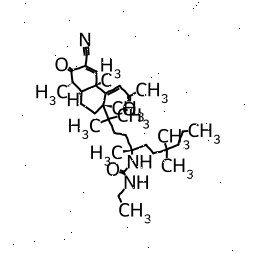 CCCC(C)(C)CC[C@@](C)(CCC(C)(C)[C@]1(C)CC[C@H]2[C@H](C)C(=O)C(C#N)=C[C@]2(C)/C1=C/C(C)=O)NC(=O)NCC